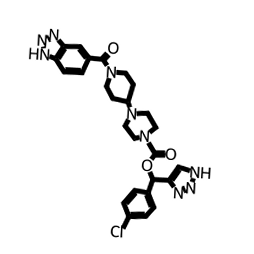 O=C(OC(c1ccc(Cl)cc1)c1c[nH]nn1)N1CCN(C2CCN(C(=O)c3ccc4[nH]nnc4c3)CC2)CC1